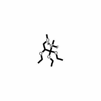 CCOC(COC)C(OCC)(OCC)[Si](C)(F)F